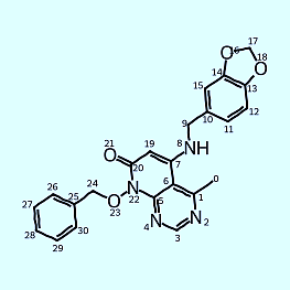 Cc1ncnc2c1c(NCc1ccc3c(c1)OCO3)cc(=O)n2OCc1ccccc1